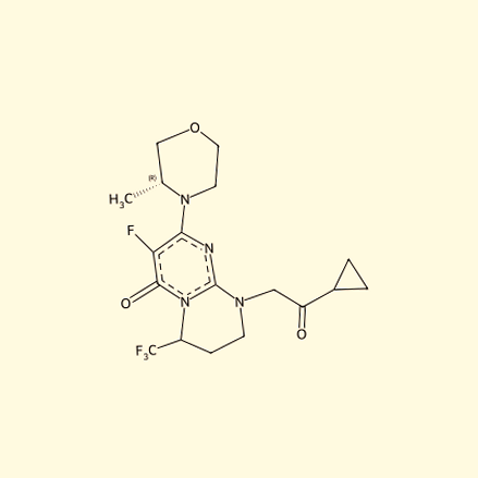 C[C@@H]1COCCN1c1nc2n(c(=O)c1F)C(C(F)(F)F)CCN2CC(=O)C1CC1